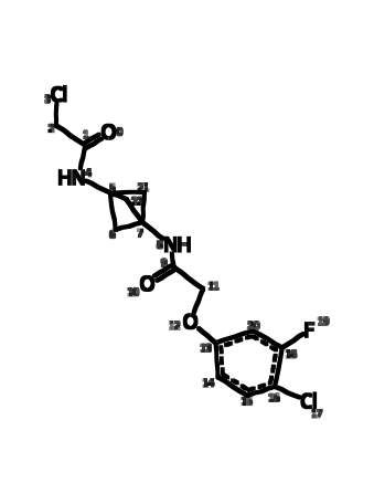 O=C(CCl)NC12CC(NC(=O)COc3ccc(Cl)c(F)c3)(C1)C2